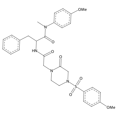 COc1ccc(N(C)C(=O)C(Cc2ccccc2)NC(=O)CN2CCN(S(=O)(=O)c3ccc(OC)cc3)CC2=O)cc1